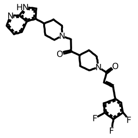 O=C(CN1CCC(c2c[nH]c3ncccc23)CC1)C1CCN(C(=O)C=Cc2cc(F)c(F)c(F)c2)CC1